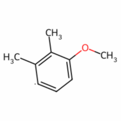 COc1cc[c]c(C)c1C